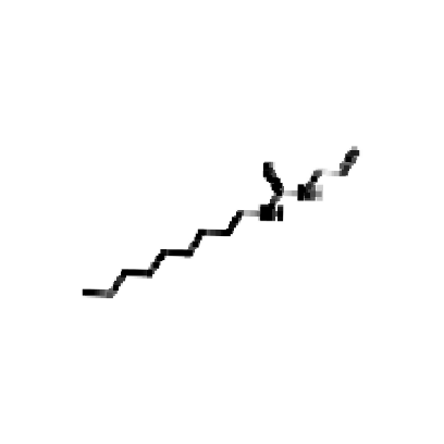 C=CCNC(=S)NCCCCCCCCC